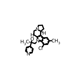 Cc1cc(Cl)c2c(c1)c1c(n2C[C@@](C)(O)c2ccncc2)CCN2CCC[C@H]12